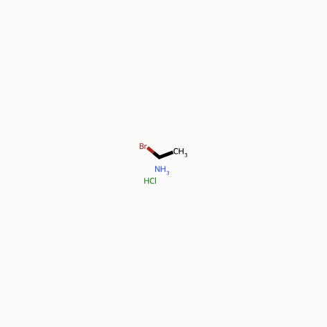 CCBr.Cl.N